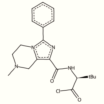 CN1CCn2c(-c3ccccc3)nc(C(=O)N[C@H](C(=O)Cl)C(C)(C)C)c2C1